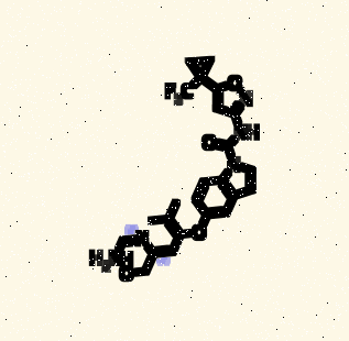 CC(C)=C(/C=C(CO)\N=C/N)Oc1ccc2c(ccn2C(=O)Nc2cc(C3(C(F)(F)F)CC3)on2)c1